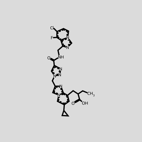 CCC(Cc1cc(C2CC2)cn2cc(Cn3cc(C(=O)NCc4ncn5ccc(Cl)c(F)c45)nn3)nc12)C(=O)O